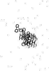 CC(C)CC(NC(=O)NC(CNC(=O)OCC1c2ccccc2-c2ccccc21)C(=O)OC(C)(C)C)C(=O)OC(C)(C)C